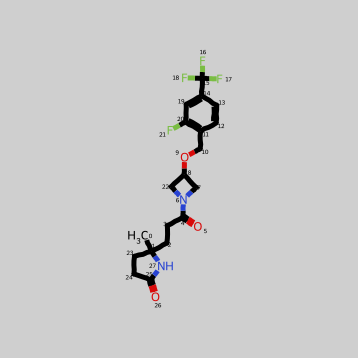 CC1(CCC(=O)N2CC(OCc3ccc(C(F)(F)F)cc3F)C2)CCC(=O)N1